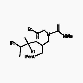 C=C(NC)N(CNCC)CC(CC(C)CCC)CC(C)(CC)C(C)C(C)C